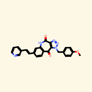 COc1ccc(Cn2nnc3c(=O)[nH]c4cc(C=Cc5cccnc5)ccc4c(=O)c32)cc1